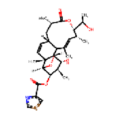 CO[C@H]1C[C@H]2C=C[C@]3(C)[C@H]4[C@H](O)[C@@H](C)[C@@H](OC(=O)c5cscn5)[C@@H]3O[C@@]24/C(C)=C/[C@@H](C)[C@@H]([C@@H](C)O)OC1=O